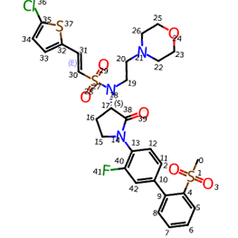 CS(=O)(=O)c1ccccc1-c1ccc(N2CC[C@H](N(CCN3CCOCC3)S(=O)(=O)/C=C/c3ccc(Cl)s3)C2=O)c(F)c1